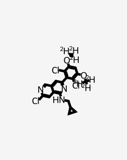 [2H]C([2H])([2H])Oc1cc(OC([2H])([2H])[2H])c(Cl)c(-c2cc3cnc(Cl)cc3c(NCC3CC3)n2)c1Cl